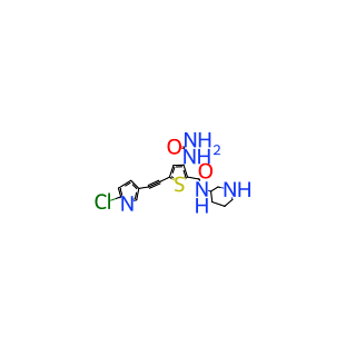 NC(=O)Nc1cc(C#Cc2ccc(Cl)nc2)sc1C(=O)NC1CCCNC1